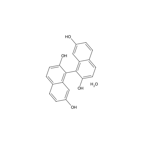 O.Oc1ccc2ccc(O)c(-c3c(O)ccc4ccc(O)cc34)c2c1